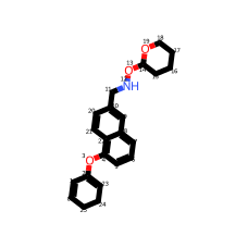 C1=CC(Oc2cccc3cc(CNOC4CCCCO4)ccc23)=CCC1